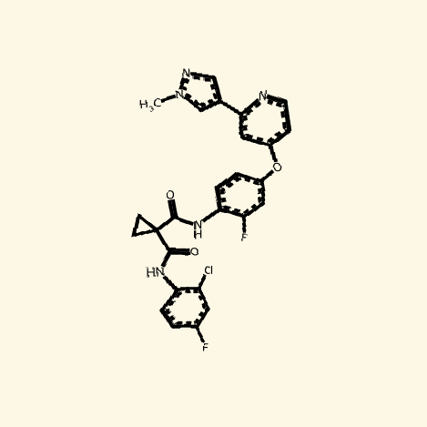 Cn1cc(-c2cc(Oc3ccc(NC(=O)C4(C(=O)Nc5ccc(F)cc5Cl)CC4)c(F)c3)ccn2)cn1